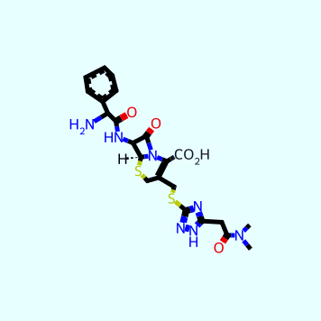 CN(C)C(=O)Cc1nc(SCC2=C(C(=O)O)N3C(=O)C(NC(=O)C(N)c4ccccc4)[C@@H]3SC2)n[nH]1